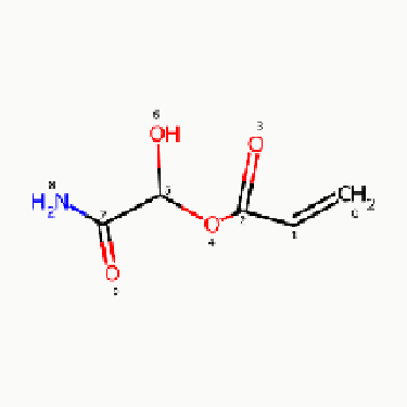 C=CC(=O)OC(O)C(N)=O